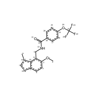 COc1ccc2ncn(C)c2c1CNC(=O)c1ccc(OC(F)(F)F)nc1